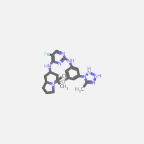 COc1cc(Nc2ncc(F)c(NC3CC4CCCN4C(C)(C)C3)n2)cc(N2NNN=C2C)c1